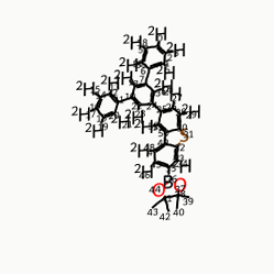 [2H]c1c([2H])c([2H])c(-c2c([2H])c(-c3c([2H])c([2H])c([2H])c([2H])c3[2H])c([2H])c(-c3c([2H])c([2H])c4sc5c([2H])c(B6OC(C)(C)C(C)(C)O6)c([2H])c([2H])c5c4c3[2H])c2[2H])c([2H])c1[2H]